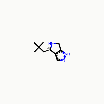 CC(C)(C)C[C@H]1NCc2[nH]ncc21